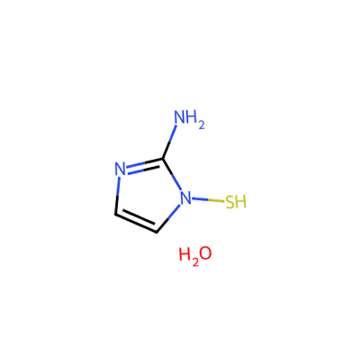 Nc1nccn1S.O